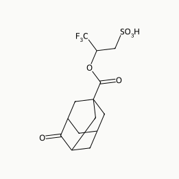 O=C1C2CC3CC1CC(C(=O)OC(CS(=O)(=O)O)C(F)(F)F)(C3)C2